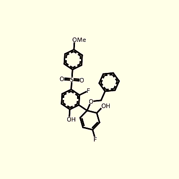 COc1ccc(S(=O)(=O)c2ccc(O)c(C3(OCc4ccccc4)C=CC(F)=CC3O)c2F)cc1